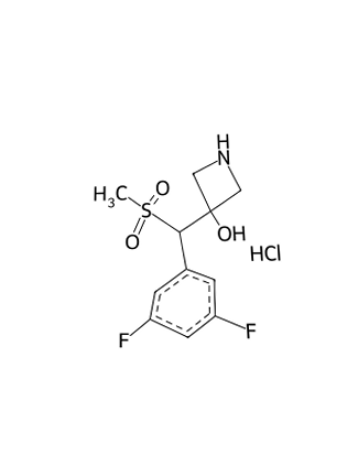 CS(=O)(=O)C(c1cc(F)cc(F)c1)C1(O)CNC1.Cl